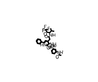 CC(=O)Nc1cccc(S(=O)(=O)Nc2c(CC(=O)NC(C(=O)C(F)(F)F)C(C)C)cc(-c3ccccc3)[nH]c2=O)c1